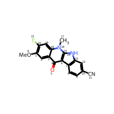 COc1cc2c(=O)c3c4ccc(C#N)cc4[nH]c3n(C)c2cc1F